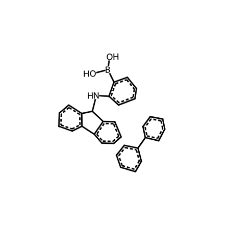 OB(O)c1ccccc1NC1c2ccccc2-c2ccccc21.c1ccc(-c2ccccc2)cc1